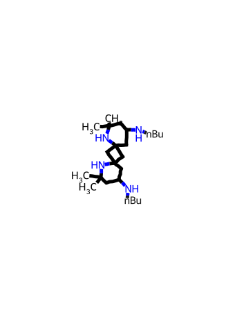 CCCCNC1CC(C)(C)NC2(C1)CC1(CC(NCCCC)CC(C)(C)N1)C2